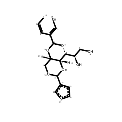 OC[C@@H](O)[C@H]1OC(C(/C=C\I)=C/S)O[C@H]2COC(c3ccsc3)O[C@@H]12